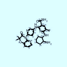 CC1(C)Oc2cccnc2N(c2ccc(Nc3nc(NC4CCCCC4N)c(F)cc3C(N)=O)cn2)C1=O